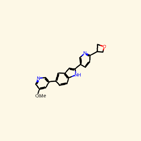 COc1cncc(-c2ccc3[nH]c(-c4ccc(C5COC5)nc4)cc3c2)c1